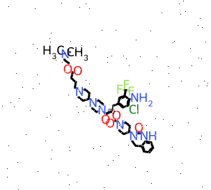 CN(C)CCOC(=O)CCCN1CCC(N2CCN(C(=O)[C@@H](Cc3cc(Cl)c(N)c(C(F)(F)F)c3)OC(=O)N3CCC(N4CCc5ccccc5NC4=O)CC3)CC2)CC1